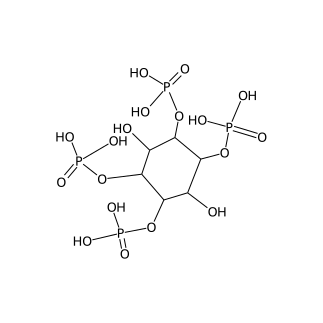 O=P(O)(O)OC1C(O)C(OP(=O)(O)O)C(OP(=O)(O)O)C(O)C1OP(=O)(O)O